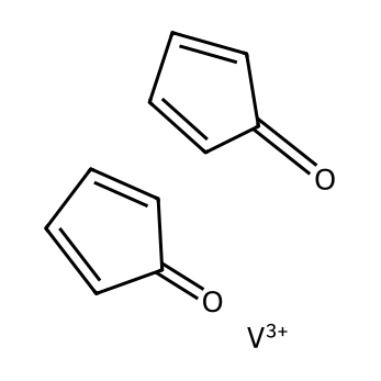 O=C1C=CC=C1.O=C1C=CC=C1.[V+3]